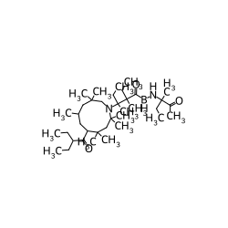 CCC(CC)C(=O)C1CC(C)CC(C)(C)CN(C(C)(CC)C(C)(CC)C(=O)BNC(C)(CC)C(C)=O)C(C)(C)CC1(C)C